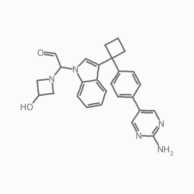 Nc1ncc(-c2ccc(C3(c4cn(C(C=O)N5CC(O)C5)c5ccccc45)CCC3)cc2)cn1